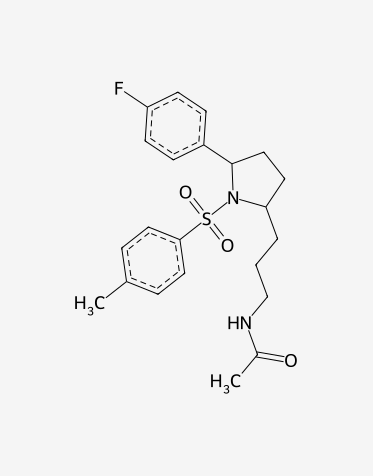 CC(=O)NCCCC1CCC(c2ccc(F)cc2)N1S(=O)(=O)c1ccc(C)cc1